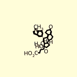 Cn1ccc2cc([C@H]3C[C@@]4(C)[C@@H](CC[C@]4(O)C(=O)CCC(=O)O)[C@@H]4CCC5=CC(=O)CCC5=C43)ccc21